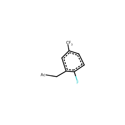 CC(=O)Cc1cc(C(F)(F)F)ccc1F